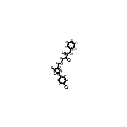 Cc1oc(-c2ccc(Cl)cc2)nc1CSCC(=O)NCc1ccccc1